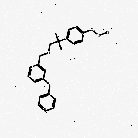 CCOOc1ccc(C(C)(C)COCc2cccc(Oc3ccccc3)c2)cc1